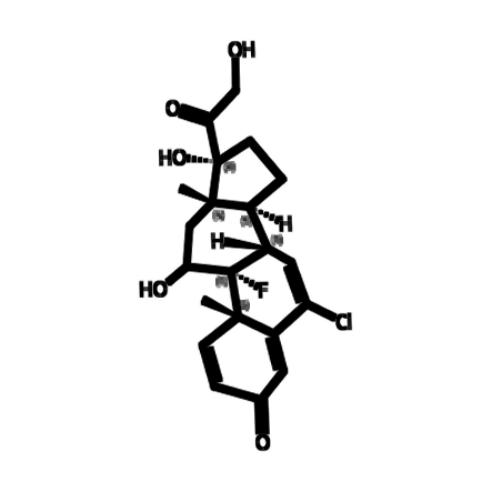 C[C@]12C=CC(=O)C=C1C(Cl)=C[C@H]1[C@@H]3CC[C@](O)(C(=O)CO)[C@@]3(C)CC(O)[C@@]12F